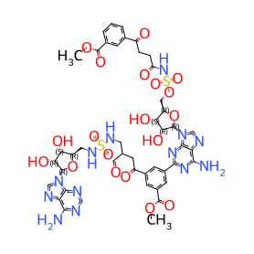 COC(=O)c1cccc(C(=O)CCC(=O)NS(=O)(=O)OC[C@H]2O[C@@H](n3cnc4c(N)nc(-c5cc(C(=O)CC(C=O)CNS(=O)(=O)NC[C@H]6O[C@@H](n7cnc8c(N)ncnc87)[C@H](O)[C@@H]6O)cc(C(=O)OC)c5)nc43)[C@H](O)[C@@H]2O)c1